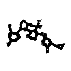 Fc1ccc(C2CCCN2c2ncnc(Nc3cc(C4CC4)[nH]n3)c2C(F)(F)F)c(F)c1